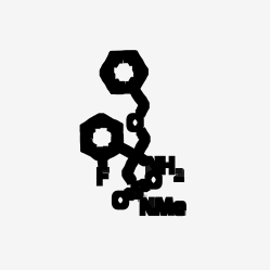 CNS(=O)(=O)CC(N)(COCc1ccccc1)c1ccccc1F